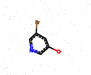 [O]c1cncc(Br)c1